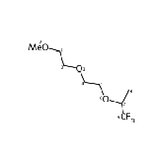 COCCOCCO[C](C)C(F)(F)F